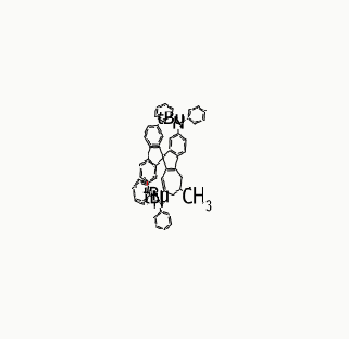 CC1CC(N(c2ccccc2)c2ccccc2)=CC2=C(C1)c1ccc(N(c3ccccc3)c3ccccc3)cc1C21c2cc(C(C)(C)C)ccc2-c2ccc(C(C)(C)C)cc21